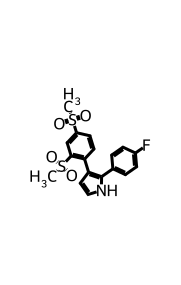 CS(=O)(=O)c1ccc(-c2cc[nH]c2-c2ccc(F)cc2)c(S(C)(=O)=O)c1